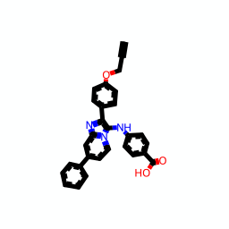 C#CCOc1ccc(-c2nc3cc(-c4ccccc4)ccn3c2Nc2ccc(C(=O)O)cc2)cc1